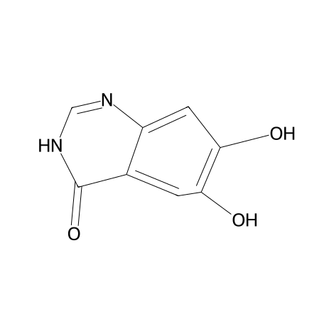 O=c1[nH]cnc2cc(O)c(O)cc12